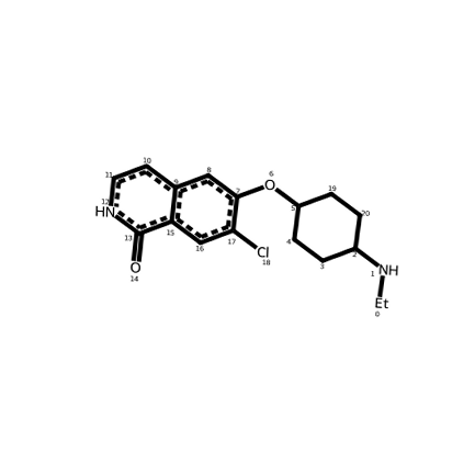 CCNC1CCC(Oc2cc3cc[nH]c(=O)c3cc2Cl)CC1